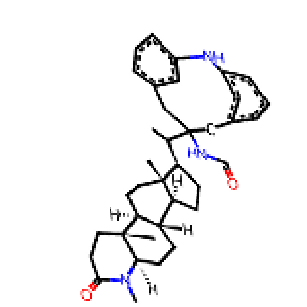 CC([C@H]1CC[C@H]2[C@@H]3CC[C@H]4N(C)C(=O)CC[C@]4(C)[C@H]3CC[C@]12C)C1(NC=O)Cc2cccc(c2)Nc2cccc(c2)C1